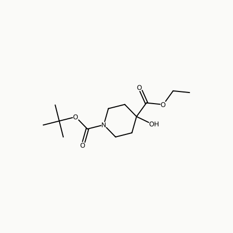 CCOC(=O)C1(O)CCN(C(=O)OC(C)(C)C)CC1